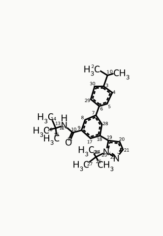 CC(C)c1ccc(-c2cc(C(=O)NC(C)(C)C)cc(-c3ccnn3C(C)(C)C)c2)cc1